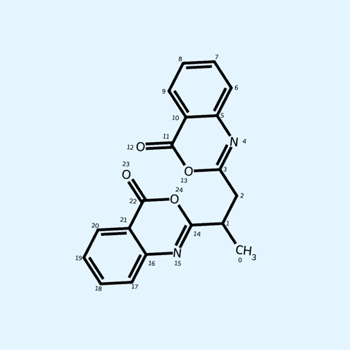 CC(Cc1nc2ccccc2c(=O)o1)c1nc2ccccc2c(=O)o1